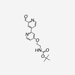 CC(C)(C)OC(=O)NCCOc1ccnc(-c2ccnc(C=O)c2)c1